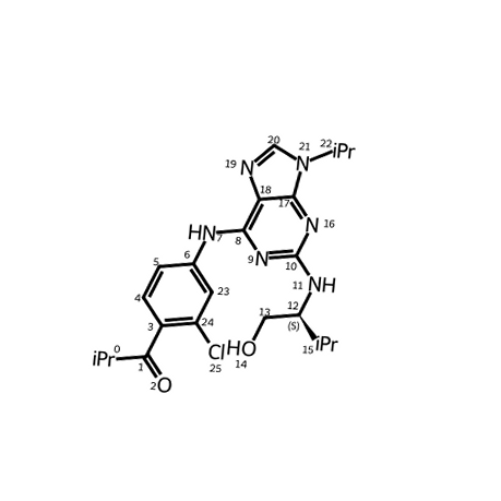 CC(C)C(=O)c1ccc(Nc2nc(N[C@H](CO)C(C)C)nc3c2ncn3C(C)C)cc1Cl